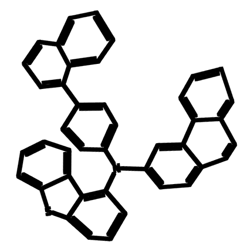 c1ccc2c(-c3ccc(N(c4ccc5ccc6ccccc6c5c4)c4cccc5sc6ccccc6c45)cc3)cccc2c1